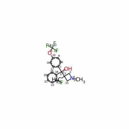 CN1CC(C)([C@@](O)(c2ccc(OC(F)(F)F)cc2)c2ccccc2F)C1